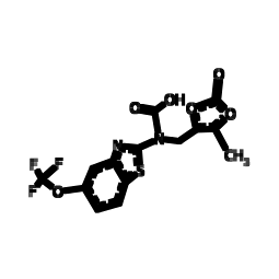 Cc1oc(=O)oc1CN(C(=O)O)c1nc2cc(OC(F)(F)F)ccc2s1